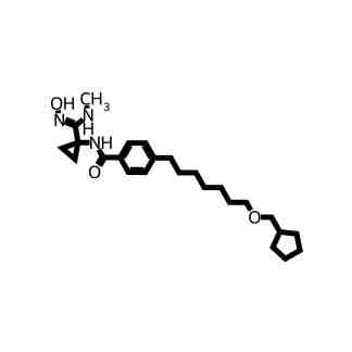 CN/C(=N\O)C1(NC(=O)c2ccc(CCCCCCCOCC3CCCC3)cc2)CC1